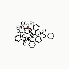 CCOC(=O)Oc1ccccc1C(=O)C1(OC(=O)OC2CCCCC2)C=CC=CC1C(=O)OOC(=O)C1C=CC=CC1(OC(=O)OC1CCCCC1)C(=O)c1ccccc1OC(=O)OCC